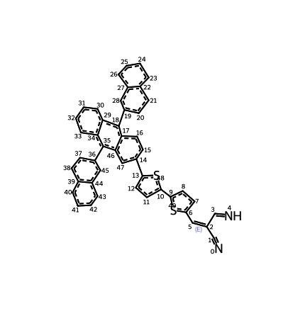 N#C/C(C=N)=C/c1ccc(-c2ccc(-c3ccc4c(-c5ccc6ccccc6c5)c5ccccc5c(-c5ccc6ccccc6c5)c4c3)s2)s1